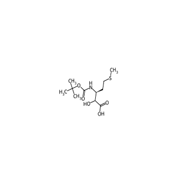 CSCC[C@H](NC(=O)OC(C)(C)C)C(O)C(=O)O